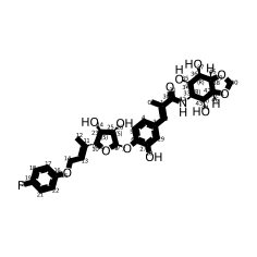 CC(=Cc1ccc(O[C@@H]2O[C@H](C(C)=CCOc3ccc(F)cc3)[C@@H](O)[C@@H]2O)c(O)c1)C(=O)N[C@@H]1[C@H](O)[C@@H](O)[C@H]2OCO[C@H]2[C@@H]1O